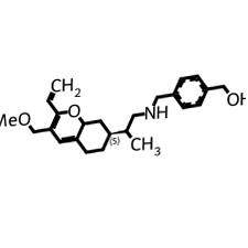 C=CC1=C(COC)C=C2CC[C@H](C(C)CNCc3ccc(CO)cc3)CC2O1